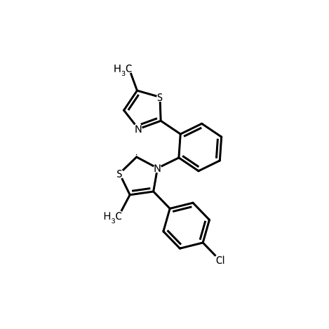 CC1=C(c2ccc(Cl)cc2)N(c2ccccc2-c2ncc(C)s2)[CH]S1